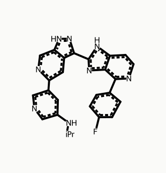 CC(C)Nc1cncc(-c2cc3c(-c4nc5c(-c6ccc(F)cc6)nccc5[nH]4)n[nH]c3cn2)c1